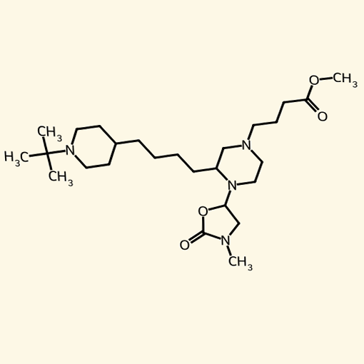 COC(=O)CCCN1CCN(C2CN(C)C(=O)O2)C(CCCCC2CCN(C(C)(C)C)CC2)C1